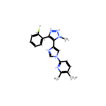 Cc1nc(-n2cnc(-c3c(-c4ccccc4F)nnn3C)c2)ccc1C(=O)O